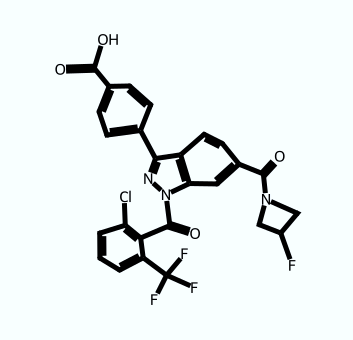 O=C(O)c1ccc(-c2nn(C(=O)c3c(Cl)cccc3C(F)(F)F)c3cc(C(=O)N4CC(F)C4)ccc23)cc1